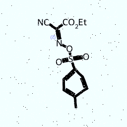 CCOC(=O)/C(C#N)=N\OS(=O)(=O)c1ccc(C)cc1